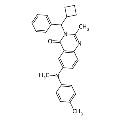 Cc1ccc(N(C)c2ccc3nc(C)n(C(c4ccccc4)C4CCC4)c(=O)c3c2)cc1